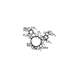 CC[C@H]1OC(=O)[C@H](C)[C@@H](O[C@H]2C[C@@](C)(OC)[C@@H](O)[C@H](C)O2)[C@H](C)[C@@H](O[C@@H]2O[C@H](C)C[C@H](N(C)C)[C@H]2O)C(C)(O)C[C@@H](C)/C(=N\OC)[C@H](C)[C@@H](O)[C@]1(C)O